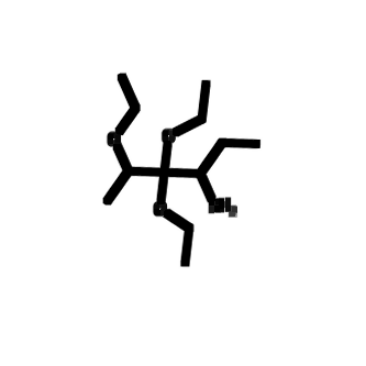 CCOC(C)C(OCC)(OCC)C(N)CC